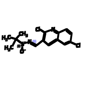 CC(C)(C)[S@+]([O-])/N=C/c1cc2cc(Cl)ccc2nc1Cl